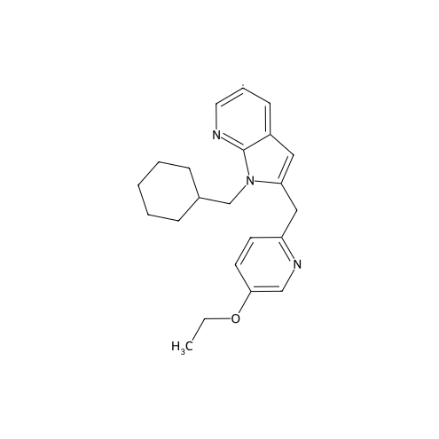 CCOc1ccc(Cc2cc3c[c]cnc3n2CC2CCCCC2)nc1